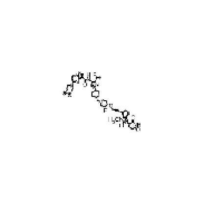 Cn1c(=O)n(C2CCC(=O)NC2=O)c2cccc(C#CCO[C@H]3CCN(C[C@H]4CC[C@H](n5cc(NC(=O)c6cnn7ccc(N8CCS(=O)(=O)CC8)nc67)c(C(F)F)n5)CC4)C[C@H]3F)c21